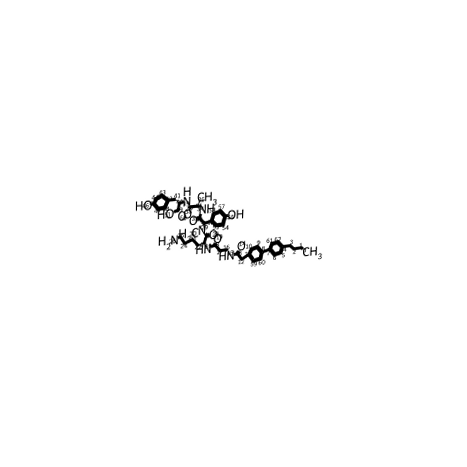 CCCCc1ccc(-c2ccc(CC(=O)NCCC(=O)N[C@@H](CCCCN)C(=O)N(C)[C@H](C(=O)N[C@@H](C)C(=O)N[C@@H](Cc3ccc(O)cc3)C(=O)O)c3ccc(O)cc3)cc2)cc1